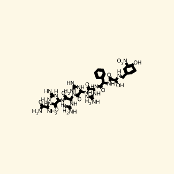 N=C(N)NC(NC(=O)C(NC(=N)N)NC(=O)C(NC(=N)N)NC(=O)C(NC(=N)N)NC(=O)C(NC(=O)C(O)NCc1ccc(O)c([N+](=O)[O-])c1)c1ccccc1)C(=O)NC(N)C(N)=O